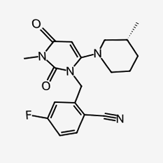 C[C@@H]1CCCN(c2cc(=O)n(C)c(=O)n2Cc2cc(F)ccc2C#N)C1